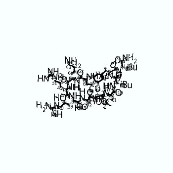 CC[C@@H](C)[C@H](NC(=O)[C@H](Cc1ccccc1)NC(=O)[C@@H](NC(=O)[C@H](CC(=O)O)NC(=O)[C@H](C)NC(=O)[C@H](CO)NC(=O)[C@H](CCCNC(=N)N)NC(=O)[C@H](CCCNC(=N)N)NC(=O)[C@H](CCCCN)NC(=O)[C@H](CCC(=O)O)NC(C)=O)[C@@H](C)CC)C(N)=O